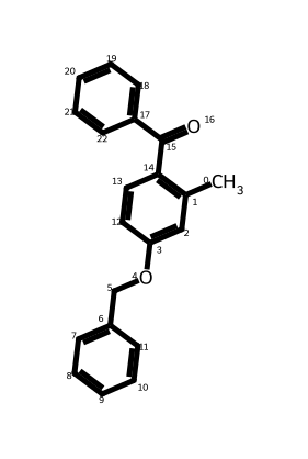 Cc1cc(OCc2ccccc2)ccc1C(=O)c1ccccc1